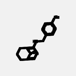 CN1C2=CCC(NCc3ccc(C(C)(C)C)cc3)=C1CCC2